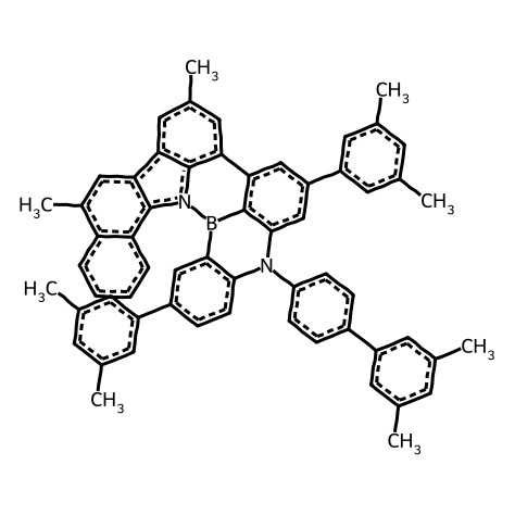 Cc1cc(C)cc(-c2ccc(N3c4ccc(-c5cc(C)cc(C)c5)cc4B4c5c(cc(-c6cc(C)cc(C)c6)cc53)-c3cc(C)cc5c6cc(C)c7ccccc7c6n4c35)cc2)c1